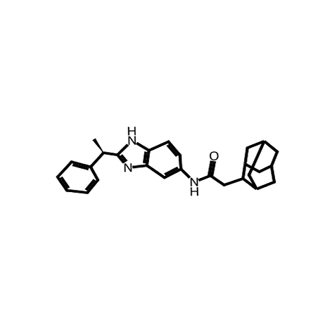 C[C@H](c1ccccc1)c1nc2cc(NC(=O)CC3C4CC5CC(C4)CC3C5)ccc2[nH]1